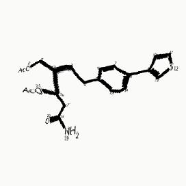 CC(=O)OCC(CCc1ccc(-c2ccsc2)cc1)C(CC(N)=O)OC(C)=O